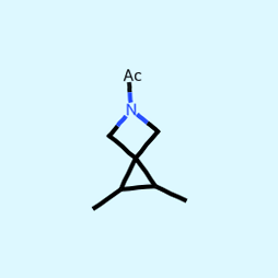 CC(=O)N1CC2(C1)C(C)C2C